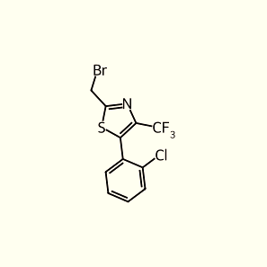 FC(F)(F)c1nc(CBr)sc1-c1ccccc1Cl